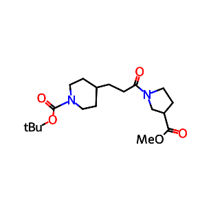 COC(=O)C1CCN(C(=O)CCC2CCN(C(=O)OC(C)(C)C)CC2)C1